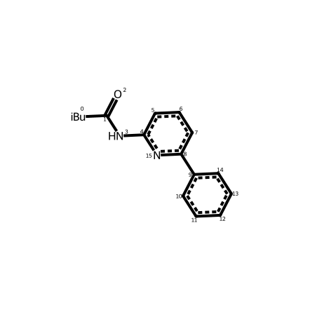 CCC(C)C(=O)Nc1cccc(-c2ccccc2)n1